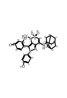 CN1c2c(nn(-c3ccc(Cl)cc3)c2-c2ccc(Cl)cc2Cl)C(NC23CC4CC(CC(C4)C2)C3)=CS1(=O)=O